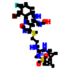 CS(=O)(=O)/N=C(/NCCSc1nonc1/C(=N/O)Nc1ccc(F)c(Br)c1)NC1CC1